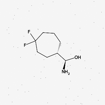 N[C@H](O)[C@H]1CCCC(F)(F)CC1